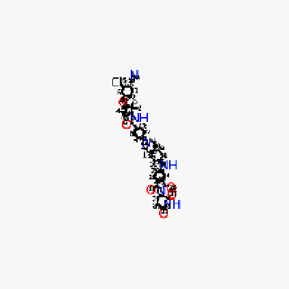 CC1(C)C(NC(=O)c2ccc(N3CCC4(CCC(Nc5ccc6c(c5)C(=O)N(C5CCC(=O)NC5=O)C6=O)CC4)CC3)cc2)C(C)(C)C1Oc1ccc(C#N)c(Cl)c1